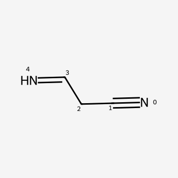 N#CCC=N